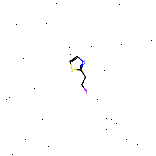 ICCc1nccs1